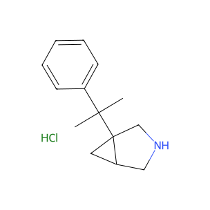 CC(C)(c1ccccc1)C12CNCC1C2.Cl